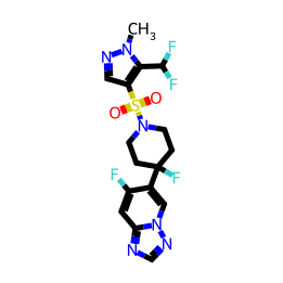 Cn1ncc(S(=O)(=O)N2CCC(F)(c3cn4ncnc4cc3F)CC2)c1C(F)F